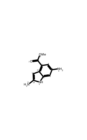 COC(=O)c1cc(N)cc2[nH]c(N)cc12